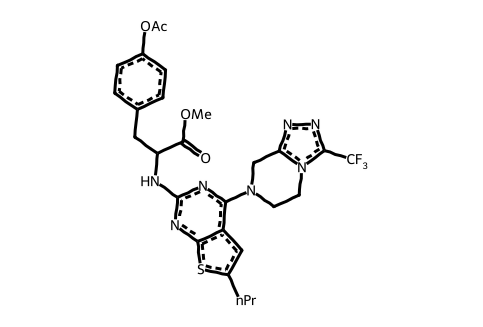 CCCc1cc2c(N3CCn4c(nnc4C(F)(F)F)C3)nc(NC(Cc3ccc(OC(C)=O)cc3)C(=O)OC)nc2s1